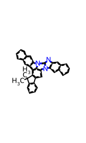 CC1(C)c2ccccc2-c2cc3c4c(c21)c1cc2ccccc2cc1n4c1nc2cc4ccccc4cc2n31